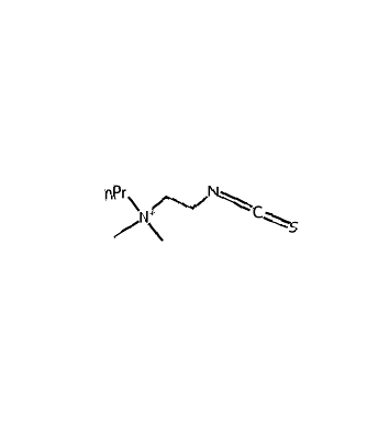 CCC[N+](C)(C)CCN=C=S